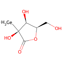 O=C1O[C@H](CO)[C@H](O)[C@@]1(O)[GeH2]